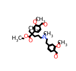 CCOC(=O)C(CC)(CCCN(C)CCc1ccc(C=O)c(OC)c1)c1ccc(C=O)c(OC)c1